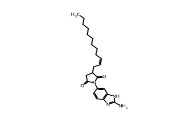 CCCCCCCCC/C=C\CC1CC(=O)N(c2ccc3nc(N)[nH]c3c2)C1=O